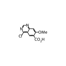 COc1cc2ncnc(Cl)c2cc1C(=O)O